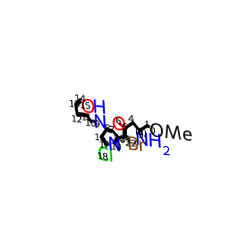 COC[C@H](N)Cc1oc2c(NCc3ccco3)cc(Cl)nc2c1Br